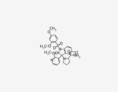 COc1ccc(S(=O)(=O)N2C(=O)C(c3cccnc3OC)(N3CCCC3C(N)=O)c3cc(Cl)ccc32)c(OC)c1